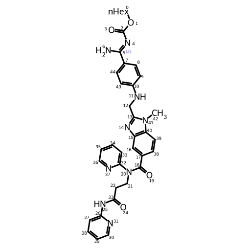 CCCCCCOC(=O)/N=C(\N)c1ccc(NCc2nc3cc(C(=O)N(CCC(=O)Nc4ccccn4)c4ccccn4)ccc3n2C)cc1